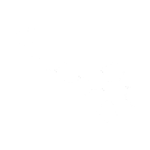 O=C1Nc2cccnc2N(C(=O)CN2CCN(CC=Cc3ccccc3)CC2)c2ccccc21